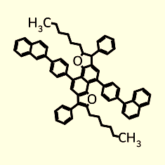 CCCCCCc1oc2c(cc(-c3ccc(-c4ccc5ccccc5c4)cc3)c3c4c(cc(-c5ccc(-c6cccc7ccccc67)cc5)c32)C(c2ccccc2)C(CCCCCC)O4)c1-c1ccccc1